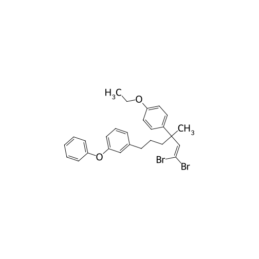 CCOc1ccc(C(C)(C=C(Br)Br)CCCc2cccc(Oc3ccccc3)c2)cc1